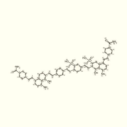 NC(=O)c1ccc(N=Nc2ccc(N)c3c(O)c(N=Nc4ccc(/C=C/c5ccc(N=Nc6c(S(=O)(=O)O)cc7c(N=Nc8ccc(C(N)=O)cc8)ccc(N)c7c6O)cc5S(=O)(=O)O)cc4)ccc23)cc1